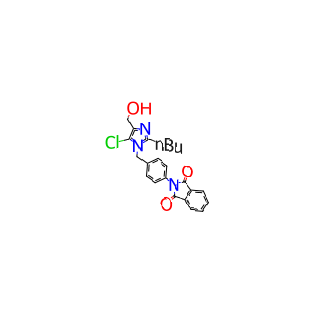 CCCCc1nc(CO)c(Cl)n1Cc1ccc(N2C(=O)c3ccccc3C2=O)cc1